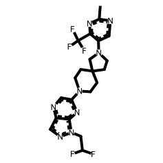 Cc1ncc(N2CCC3(CCN(c4cnc5cnn(CC(F)F)c5n4)CC3)C2)c(C(F)(F)F)n1